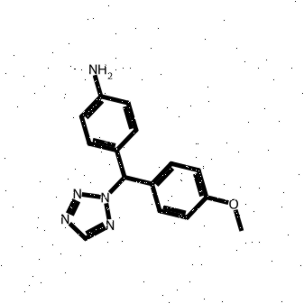 COc1ccc(C(c2ccc(N)cc2)n2ncnn2)cc1